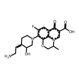 CC1COc2c(N3CC/C(=C/CN)C(O)C3)c(F)cc3c(=O)c(C(=O)O)cn1c23